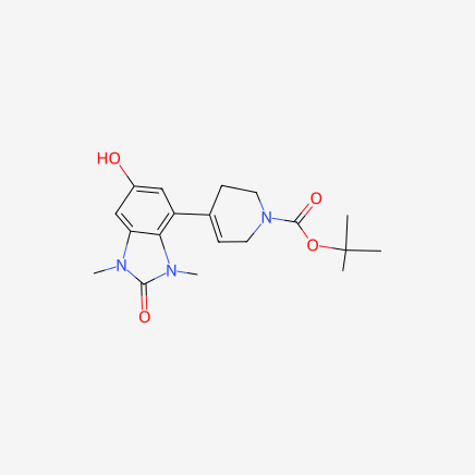 Cn1c(=O)n(C)c2c(C3=CCN(C(=O)OC(C)(C)C)CC3)cc(O)cc21